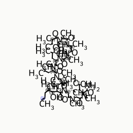 C/C=C/C[C@@H](C)[C@H](O)C(C(=O)N[C@H](CC)C(=O)N(C)CC(=O)N(C)[C@@H](CC(C)C)C(N)=O)N(C)C(=O)[C@@H](C(C)C)N(C)C(=O)[C@@H](CC(C)C)N(C)C(=O)[C@@H](CC(C)C)N(C)C(=O)[C@H](C)NC(=O)[C@@H](C)NC(=O)[C@H](C)N(C)C(=O)[C@H](C)C(C)C